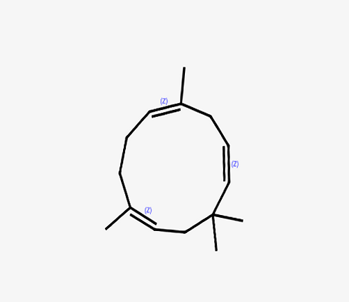 C/C1=C/CC/C(C)=C\CC(C)(C)/C=C\C1